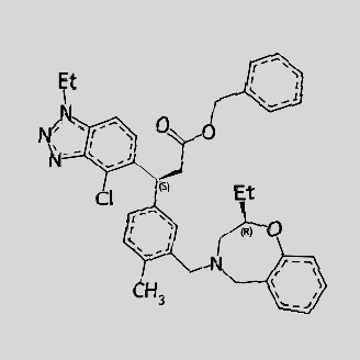 CC[C@@H]1CN(Cc2cc([C@H](CC(=O)OCc3ccccc3)c3ccc4c(nnn4CC)c3Cl)ccc2C)Cc2ccccc2O1